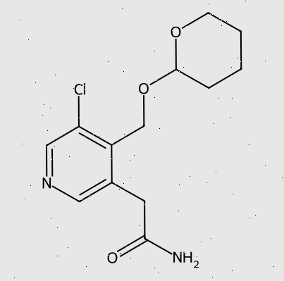 NC(=O)Cc1cncc(Cl)c1COC1CCCCO1